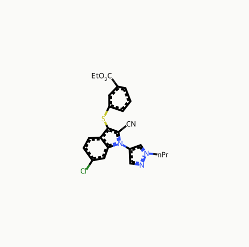 CCCn1cc(-n2c(C#N)c(Sc3cccc(C(=O)OCC)c3)c3ccc(Cl)cc32)cn1